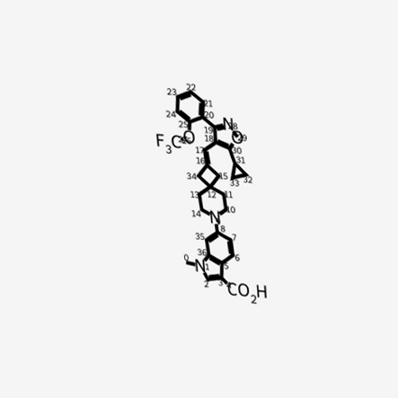 Cn1cc(C(=O)O)c2ccc(N3CCC4(CC3)CC(=Cc3c(-c5ccccc5OC(F)(F)F)noc3C3CC3)C4)cc21